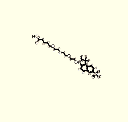 CC1=[N+](OCCOCCOCCOCCCCC(=O)O)c2ccc3cc(S(=O)(=O)[O-])ccc3c2C1(C)C